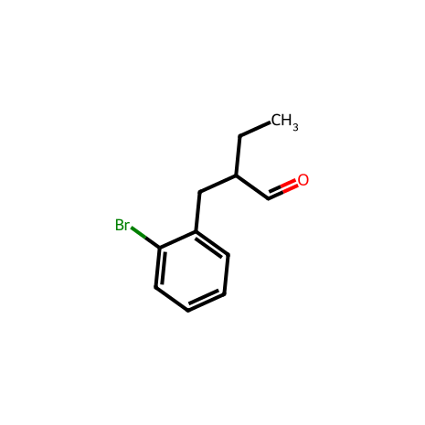 CCC(C=O)Cc1ccccc1Br